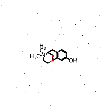 C[N+]1(C)CC[C@]23CCCCC2C1Cc1ccc(O)cc13